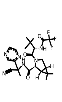 CC(C#N)(NC(=O)[C@@H]1[C@@H]2[C@H](CN1C(=O)[C@@H](NC(=O)C(F)(F)F)C(C)(C)C)C2(C)C)c1cnccn1